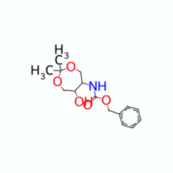 CC1(C)OCC(O)C(NC(=O)OCc2ccccc2)CO1